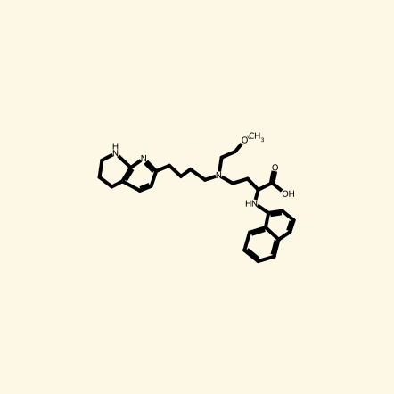 COCCN(CCCCc1ccc2c(n1)NCCC2)CCC(Nc1cccc2ccccc12)C(=O)O